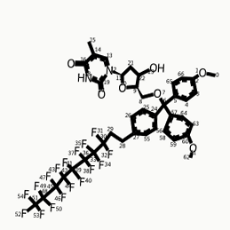 COc1ccc(C(OC[C@H]2O[C@@H](n3cc(C)c(=O)[nH]c3=O)CC2O)(c2ccc(CCC(F)(F)C(F)(F)C(F)(F)C(F)(F)C(F)(F)C(F)(F)C(F)(F)C(F)(F)F)cc2)c2ccc(OC)cc2)cc1